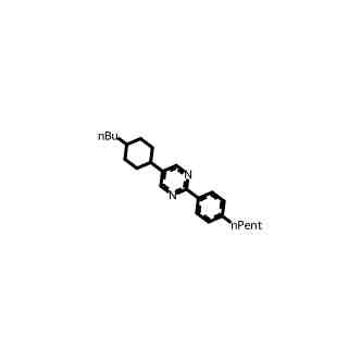 CCCCCc1ccc(-c2ncc(C3CCC(CCCC)CC3)cn2)cc1